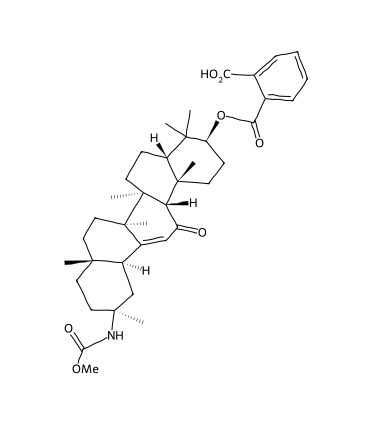 COC(=O)N[C@@]1(C)CC[C@]2(C)CC[C@]3(C)C(=CC(=O)[C@H]4[C@@]5(C)CC[C@H](OC(=O)c6ccccc6C(=O)O)C(C)(C)[C@H]5CC[C@@]43C)[C@H]2C1